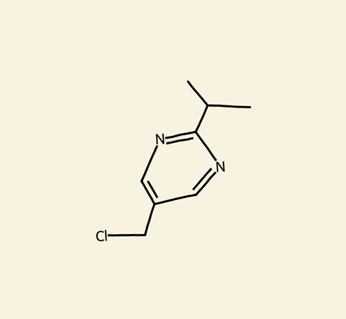 CC(C)c1ncc(CCl)cn1